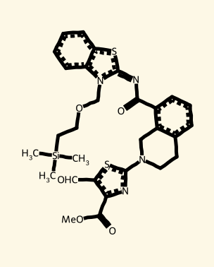 COC(=O)c1nc(N2CCc3cccc(C(=O)/N=c4/sc5ccccc5n4COCC[Si](C)(C)C)c3C2)sc1C=O